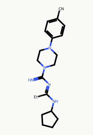 CC/C(=N\C(=N)N1CCN(c2ccc(C#N)cc2)CC1)NC1CCCC1